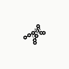 c1ccc(-c2ccc(-c3ccc(-c4nc(-c5ccc6ccccc6c5)c5sc6ccccc6c5n4)c4c3oc3c(-c5ccc6ccccc6c5)cccc34)cc2)cc1